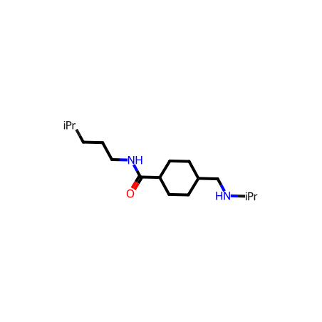 CC(C)CCCNC(=O)C1CCC(CNC(C)C)CC1